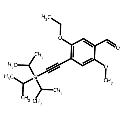 CCOc1cc(C=O)c(OC)cc1C#C[Si](C(C)C)(C(C)C)C(C)C